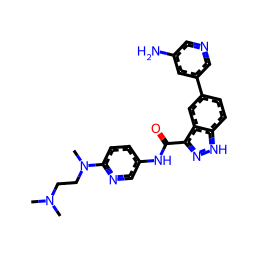 CN(C)CCN(C)c1ccc(NC(=O)c2n[nH]c3ccc(-c4cncc(N)c4)cc23)cn1